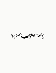 [CH2]CCSCCOCC